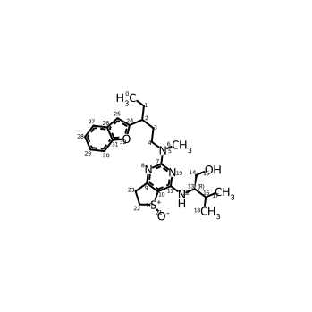 CCC(CCN(C)c1nc2c(c(N[C@@H](CO)C(C)C)n1)[S+]([O-])CC2)c1cc2ccccc2o1